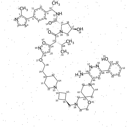 Cc1ncsc1-c1ccc([C@H](C)NC(=O)[C@@H]2C[C@@H](O)CN2C(=O)[C@@H](c2cc(OCCC3CCN([C@H]4C[C@H](CN5CCOC6(CCN(c7cc(-c8ccccc8O)nnc7N)CC6)C5)C4)CC3)no2)C(C)C)cc1